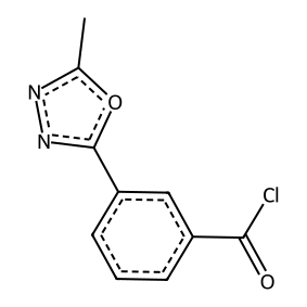 Cc1nnc(-c2cccc(C(=O)Cl)c2)o1